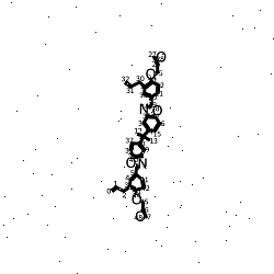 C=CCc1cc(-c2nc3cc(C(C)(C)c4ccc5oc(-c6ccc(OCC7CO7)c(CC=C)c6)nc5c4)ccc3o2)ccc1OCC1CO1